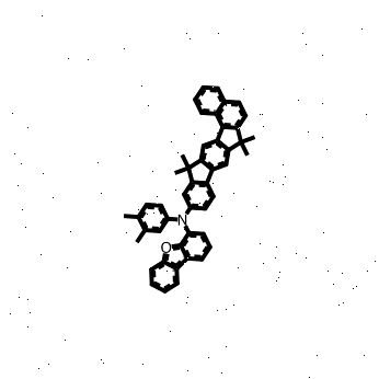 Cc1ccc(N(c2ccc3c(c2)C(C)(C)c2cc4c(cc2-3)C(C)(C)c2ccc3ccccc3c2-4)c2cccc3c2oc2ccccc23)cc1C